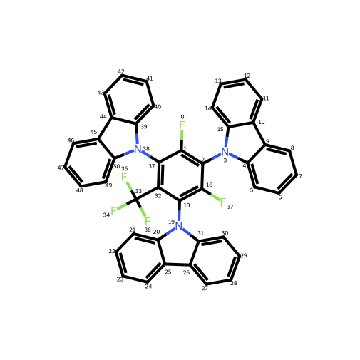 Fc1c(-n2c3ccccc3c3ccccc32)c(F)c(-n2c3ccccc3c3ccccc32)c(C(F)(F)F)c1-n1c2ccccc2c2ccccc21